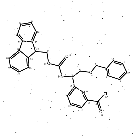 O=C(NC(COCc1ccccc1)c1cccc(C(=O)Cl)n1)OCC1c2ccccc2-c2ccccc21